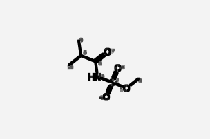 COS(=O)(=O)NC(=O)C(C)C